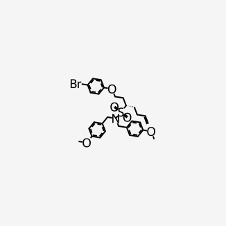 C=CCC[C@@H](CCOc1ccc(Br)cc1)S(=O)(=O)N(Cc1ccc(OC)cc1)Cc1ccc(OC)cc1